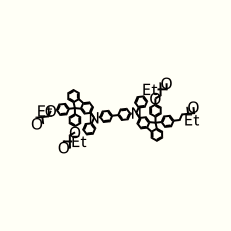 CCC1(CCc2ccc(C3(c4ccc(OCC5(CC)COC5)cc4)c4ccccc4-c4ccc(N(c5ccccc5)c5ccc(-c6ccc(N(c7ccccc7)c7ccc8c(c7)C(c7ccc(OCC9(CC)COC9)cc7)(c7ccc(OCC9(CC)COC9)cc7)c7ccccc7-8)cc6)cc5)cc43)cc2)COC1